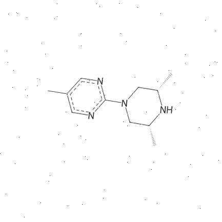 Cc1cnc(N2C[C@@H](C)N[C@@H](C)C2)nc1